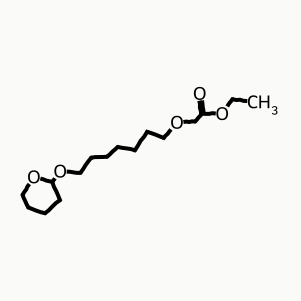 CCOC(=O)COCCCCCCCOC1CCCCO1